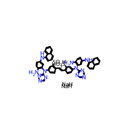 Nc1ccc(Nc2cccc3ccccc23)cc1N(c1ccc(C=Cc2ccc(N(c3ncncn3)c3cc(Nc4cccc5ccccc45)ccc3N)cc2S(=O)(=O)O)c(S(=O)(=O)O)c1)c1ncncn1.[NaH].[NaH]